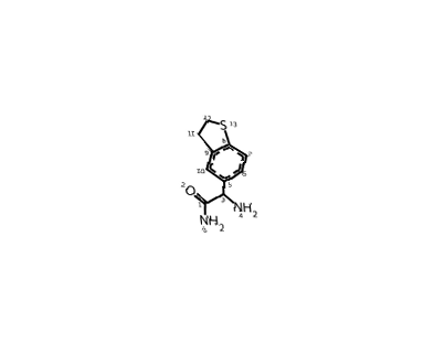 NC(=O)C(N)c1ccc2c(c1)CCS2